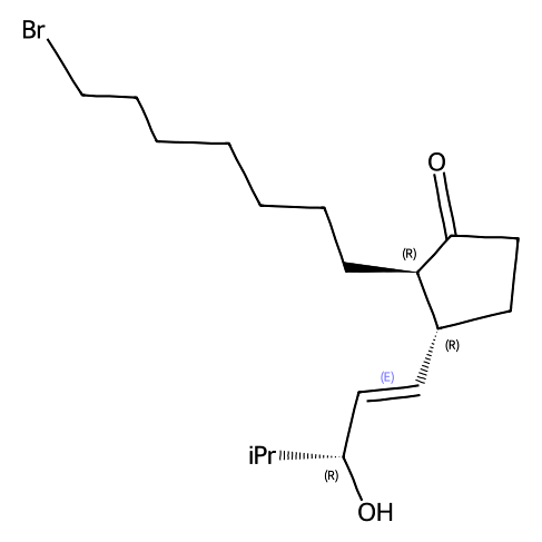 CC(C)[C@@H](O)/C=C/[C@H]1CCC(=O)[C@@H]1CCCCCCCBr